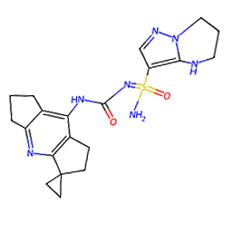 NS(=O)(=NC(=O)Nc1c2c(nc3c1CCC31CC1)CCC2)c1cnn2c1NCCC2